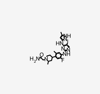 Cc1cc(Nc2nc(Nc3cc(C)c(C4CCN(CC(N)=O)C(C)C4)cc3F)ncc2I)n[nH]1